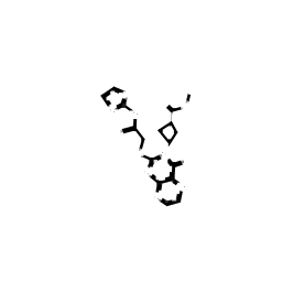 COC(=O)[C@H]1C[C@H](n2c(SCC(=O)Nc3nccs3)nc3nccnc3c2=O)C1